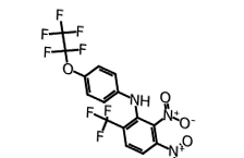 O=[N+]([O-])c1ccc(C(F)(F)F)c(Nc2ccc(OC(F)(F)C(F)(F)F)cc2)c1[N+](=O)[O-]